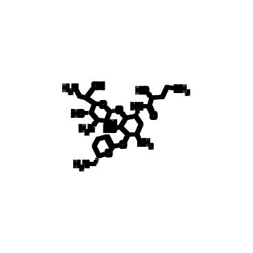 NCC[C@H](O)C(=O)N[C@@H]1CC(N)C(OC2=CCC[C@@H](CN)O2)C(O)[C@H]1O[C@H]1OC(C(O)CN)[C@@H](O)[C@H](N)C1O